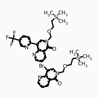 C[Si](C)(C)CCOCn1cc(-c2ccc(C(F)(F)F)cn2)c2ncccc2c1=O.C[Si](C)(C)CCOCn1cc(Br)c2ncccc2c1=O